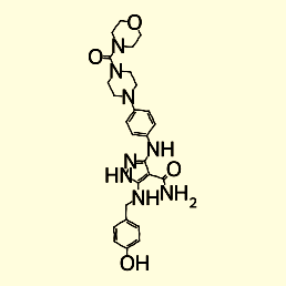 NC(=O)c1c(Nc2ccc(N3CCN(C(=O)N4CCOCC4)CC3)cc2)n[nH]c1NCc1ccc(O)cc1